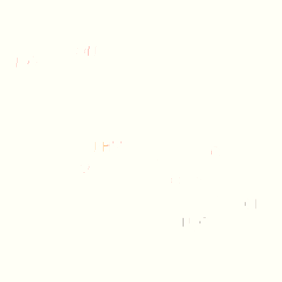 C=C(C)C(=O)OCCO[PH](=O)c1ccc(O)c(O)c1